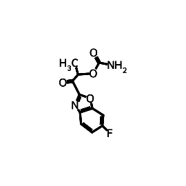 CC(OC(N)=O)C(=O)c1nc2ccc(F)cc2o1